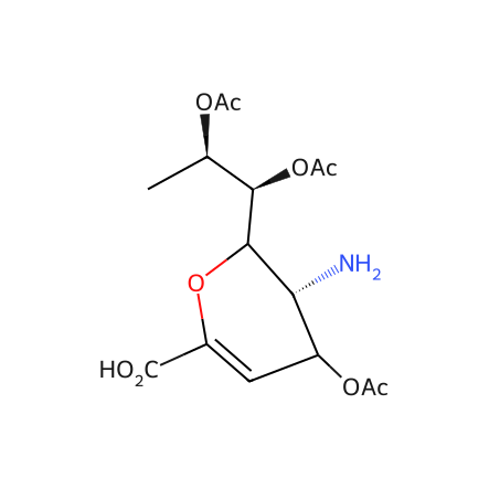 CC(=O)OC1C=C(C(=O)O)OC([C@H](OC(C)=O)[C@@H](C)OC(C)=O)[C@@H]1N